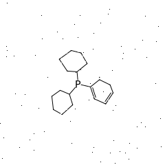 [CH]1CC=CC=C1P(C1CCCCC1)C1CCCCC1